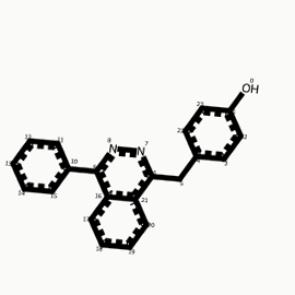 Oc1ccc(Cc2nnc(-c3ccccc3)c3ccccc23)cc1